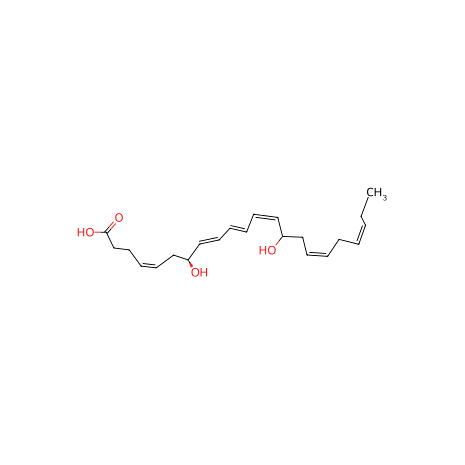 CC/C=C\C/C=C\CC(O)\C=C/C=C/C=C/[C@@H](O)C/C=C\CCC(=O)O